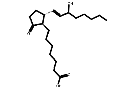 CCCCCC(O)C=C[C@H]1CCC(=O)[C@@H]1CCCCCCC(=O)O